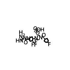 CS(=O)(=O)O.N=C(N)NC(=O)c1ccc(N2CCN(C(=O)c3ccc(F)cc3)CC2)c(C(F)(F)F)c1